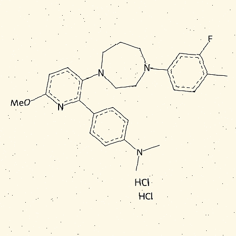 COc1ccc(N2CCCN(c3ccc(C)c(F)c3)CC2)c(-c2ccc(N(C)C)cc2)n1.Cl.Cl